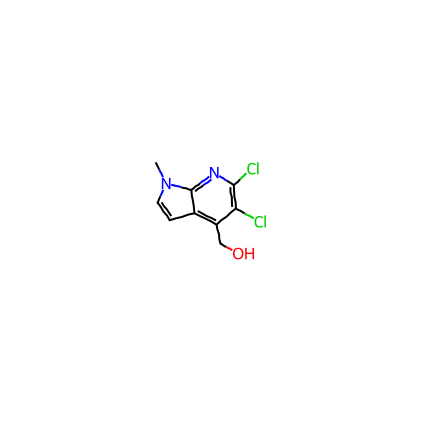 Cn1ccc2c(CO)c(Cl)c(Cl)nc21